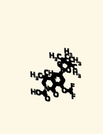 CC1(C)CN(C(=O)O)C(=O)c2c(OC(F)F)cc(B3OC(C)(C)C(C)(C)O3)cc21